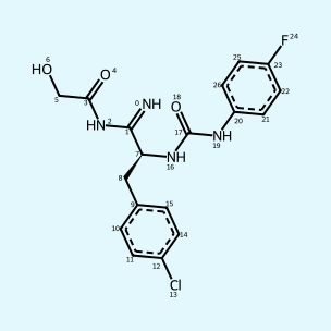 N=C(NC(=O)CO)[C@H](Cc1ccc(Cl)cc1)NC(=O)Nc1ccc(F)cc1